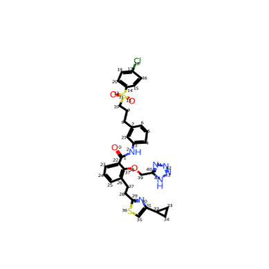 O=C(Nc1cccc(CCCS(=O)(=O)c2ccc(Cl)cc2)c1)c1cccc(CCc2nc(C3CC3)cs2)c1OCc1nnn[nH]1